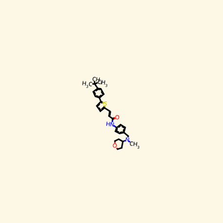 CN(Cc1ccc(NC(=O)C=Cc2ccc(-c3ccc(C(C)(C)C)cc3)s2)cc1)C1CCOCC1